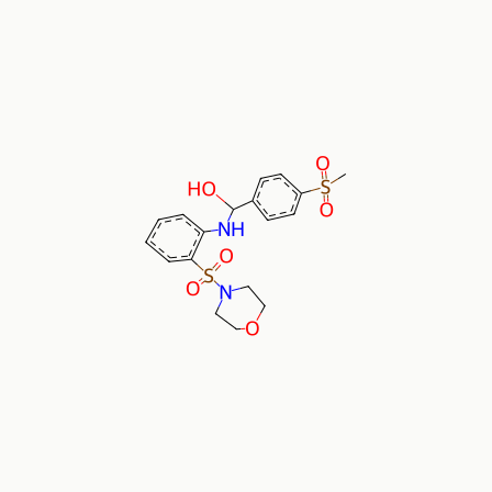 CS(=O)(=O)c1ccc(C(O)Nc2ccccc2S(=O)(=O)N2CCOCC2)cc1